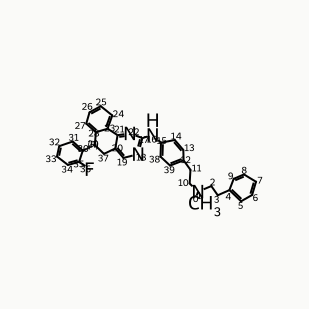 CN(CCc1ccccc1)CCc1ccc(Nc2ncc3c(n2)-c2ccccc2[C@H](c2ccccc2F)C3)cc1